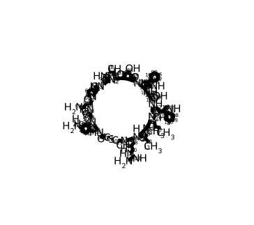 CCCC[C@H]1C(=O)N(C)[C@@H](CCCC)C(=O)N[C@@H](CCCNC(=N)N)C(=O)N[C@H](C)CSCC(=O)N[C@@H](Cc2ccc(N)cc2)C(=O)N(C)[C@@H](C)C(=O)N[C@@H](CC(N)=O)C(=O)N2CCCC2C(=O)N[C@@H](CN)C(=O)N[C@@H](CC(C)C)C(=O)C2C[C@H](O)CC2C(=O)N[C@@H](Cc2c[nH]c3ccccc23)C(=O)N[C@@H](CO)C(=O)N[C@@H](CCc2c[nH]c3ccccc23)C(=O)N1C